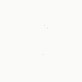 O=C(NCc1ccccc1C(F)(F)F)NCC1CCC(CNC(=O)c2cccc(Cl)c2Cl)CC1